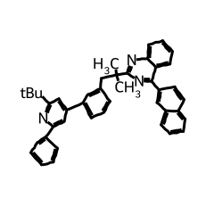 CC(C)(C)c1cc(-c2cccc(CC(C)(C)c3nc(-c4ccc5ccccc5c4)c4ccccc4n3)c2)cc(-c2ccccc2)n1